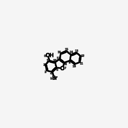 Oc1ccc(Br)c2oc3c4ccccc4ccc3c12